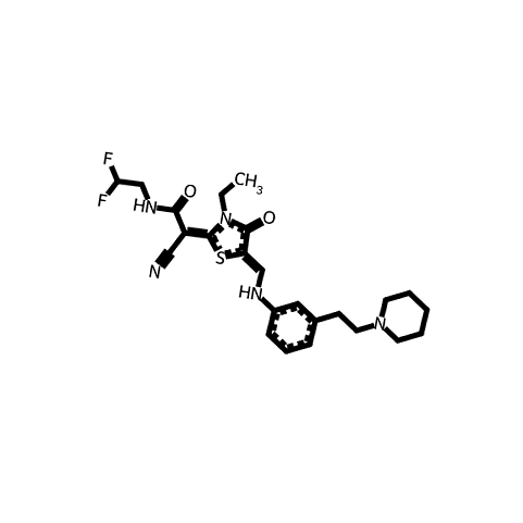 CCn1c(=C(C#N)C(=O)NCC(F)F)sc(=CNc2cccc(CCN3CCCCC3)c2)c1=O